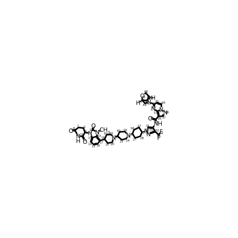 Cn1c(=O)n(C2CCC(=O)NC2=O)c2cccc(C3CCN(C4CCN([C@H]5CC[C@H](n6cc(NC(=O)c7cnn8ccc(N9C[C@H]%10C[C@@H]9CO%10)nc78)c(C(F)F)n6)CC5)CC4)CC3)c21